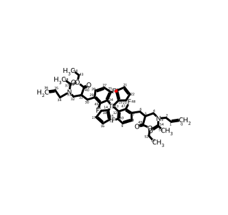 C=CCN(CC(Cc1ccc(F)[c]([Ti]([C]2=CC=CC2)([C]2=CC=CC2)[c]2c(F)ccc(CC(CN(CC=C)C(C)=O)C(=O)OCC)c2F)c1F)C(=O)OCC)C(C)=O